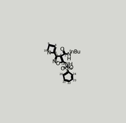 CCCCNC(=O)c1c(-c2ccccn2)noc1NS(=O)(=O)c1ccccc1